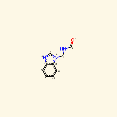 O=CNCn1cnc2ccccc21